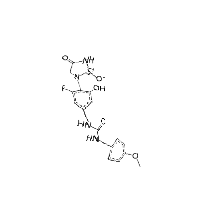 COc1ccc(NC(=O)Nc2cc(O)c(N3CC(=O)N[S+]3[O-])c(F)c2)cc1